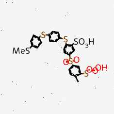 CSc1ccc(Sc2ccc(Sc3ccc(S(=O)(=O)c4ccc(C)c(SOOO)c4)cc3S(=O)(=O)O)cc2)cc1